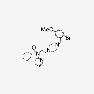 COc1ccc(Br)c(CN2CCN(CCN(C(=O)C3CCCCC3)c3ccccn3)CC2)c1